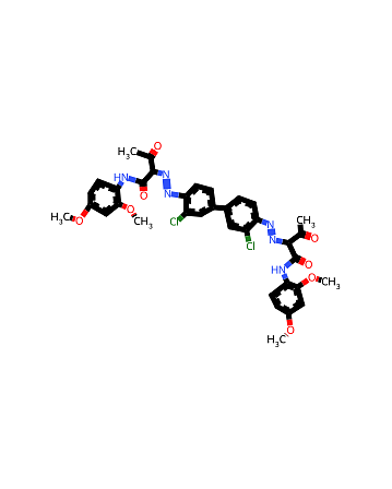 COc1ccc(NC(=O)C(N=Nc2ccc(-c3ccc(N=NC(C(C)=O)C(=O)Nc4ccc(OC)cc4OC)c(Cl)c3)cc2Cl)C(C)=O)c(OC)c1